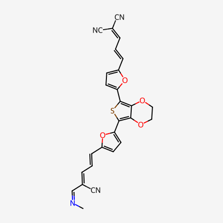 C\N=C/C(C#N)=C/C=C/c1ccc(-c2sc(-c3ccc(/C=C/C=C(C#N)C#N)o3)c3c2OCCO3)o1